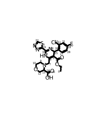 CCOC(=O)C1=C(CN2CCOCC2C(=O)O)NC(c2nncs2)=NC1c1ccc(F)cc1Cl